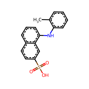 Cc1ccccc1Nc1cccc2ccc(S(=O)(=O)O)cc12